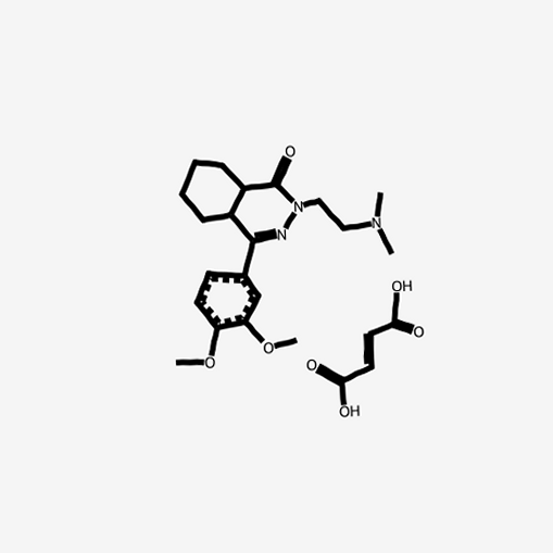 COc1ccc(C2=NN(CCN(C)C)C(=O)C3CCCCC23)cc1OC.O=C(O)C=CC(=O)O